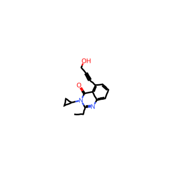 CCc1nc2cccc(C#CCO)c2c(=O)n1C1CC1